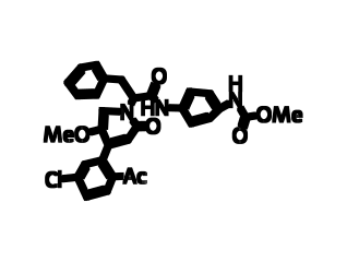 COC(=O)Nc1ccc(NC(=O)C(Cc2ccccc2)n2cc(OC)c(-c3cc(Cl)ccc3C(C)=O)cc2=O)cc1